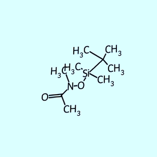 CC(=O)N(C)O[Si](C)(C)C(C)(C)C